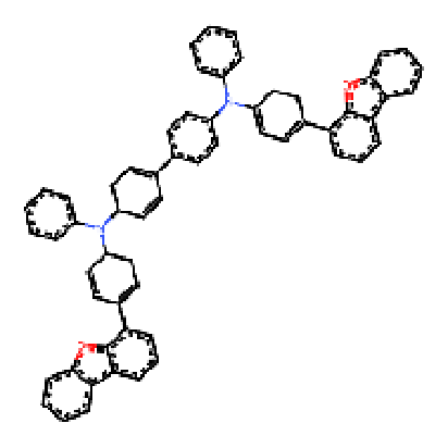 C1=CC(N(c2ccccc2)C2C=CC(c3cccc4c3oc3ccccc34)=CC2)CC=C1c1ccc(N(C2=CC=C(c3cccc4c3oc3ccccc34)CC2)c2ccccc2)cc1